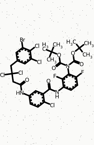 CC(C)(C)OC(=O)N(C(=O)OC(C)(C)C)c1c(F)ccc(NC(=O)c2cc(NC(=O)CC(Cl)(Cl)Cc3cc(Cl)c(Cl)c(Br)c3)ccc2Cl)c1F